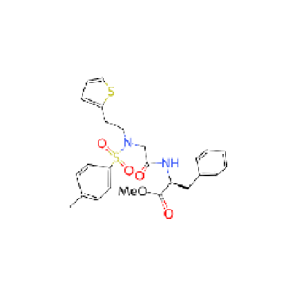 COC(=O)[C@H](Cc1ccccc1)NC(=O)CN(CCc1cccs1)S(=O)(=O)c1ccc(C)cc1